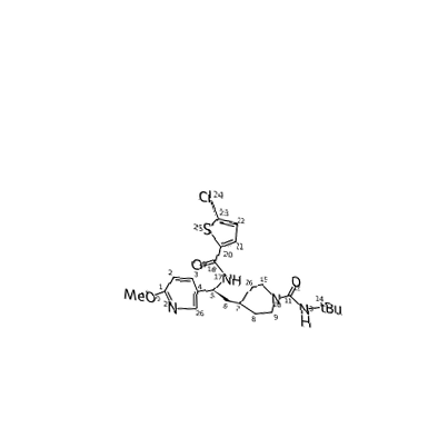 COc1ccc([C@H](CC2CCN(C(=O)NC(C)(C)C)CC2)NC(=O)c2ccc(Cl)s2)cn1